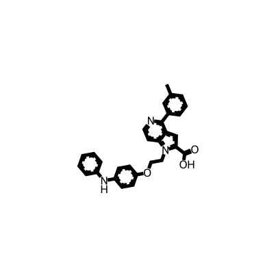 Cc1cccc(-c2nccc3c2cc(C(=O)O)n3CCOc2ccc(Nc3ccccc3)cc2)c1